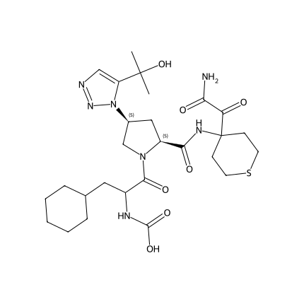 CC(C)(O)c1cnnn1[C@H]1C[C@@H](C(=O)NC2(C(=O)C(N)=O)CCSCC2)N(C(=O)C(CC2CCCCC2)NC(=O)O)C1